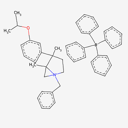 CC(C)Oc1cccc(C2(C)CC[N+]3(Cc4ccccc4)CC23C)c1.c1ccc([B-](c2ccccc2)(c2ccccc2)c2ccccc2)cc1